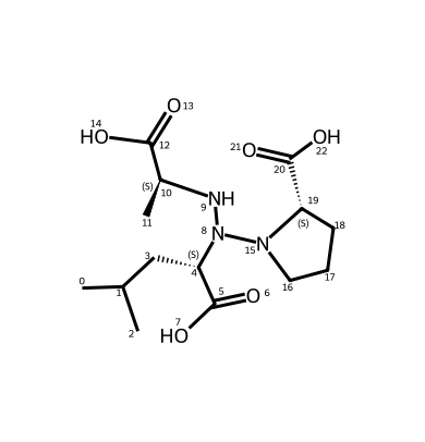 CC(C)C[C@@H](C(=O)O)N(N[C@@H](C)C(=O)O)N1CCC[C@H]1C(=O)O